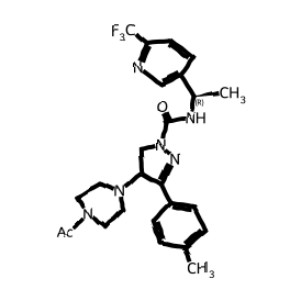 CC(=O)N1CCN(C2CN(C(=O)N[C@H](C)c3ccc(C(F)(F)F)nc3)N=C2c2ccc(C)cc2)CC1